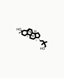 CC(C)(CO)CC[C@H]1CC[C@H]2[C@@H]3CC=C4C[C@@](C)(O)CC[C@]4(C)[C@H]3CC[C@]12C